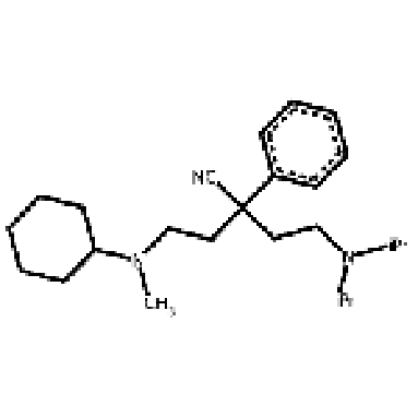 CC(C)N(CCC(C#N)(CCN(C)C1CCCCC1)c1ccccc1)C(C)C